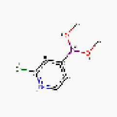 COP(OC)c1ccnc(Cl)c1